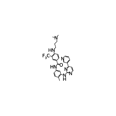 Cc1ccc(NC(=O)c2ccc(NCCCN(C)C)c(C(F)(F)F)c2)cc1Nc1nccc(-c2cccnc2)n1